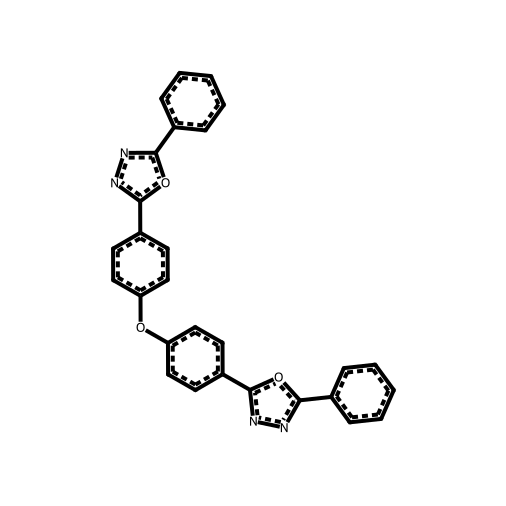 c1ccc(-c2nnc(-c3ccc(Oc4ccc(-c5nnc(-c6ccccc6)o5)cc4)cc3)o2)cc1